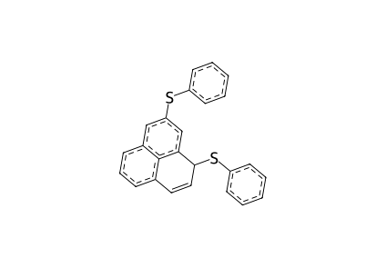 C1=CC(Sc2ccccc2)c2cc(Sc3ccccc3)cc3cccc1c23